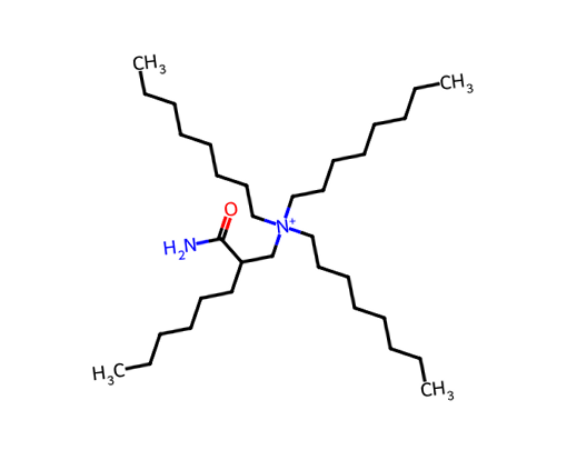 CCCCCCCC[N+](CCCCCCCC)(CCCCCCCC)CC(CCCCCC)C(N)=O